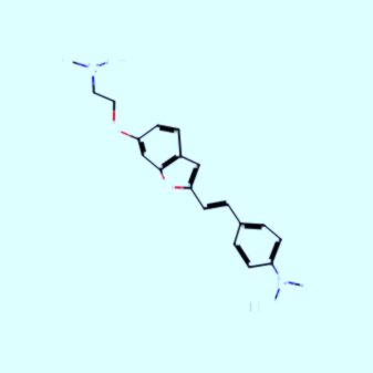 CN(C)CCOc1ccc2cc(/C=C/c3ccc(N(C)C)cc3)oc2c1